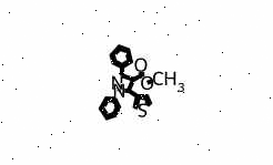 COC(=O)C1C(c2ccccc2)=NN(c2ccccc2)C1c1ccsc1